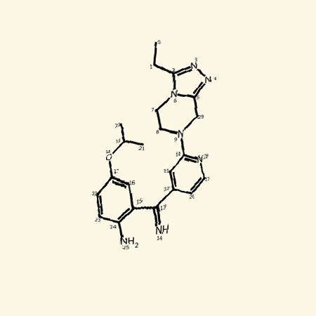 CCc1nnc2n1CCN(c1cc(C(=N)c3cc(OC(C)C)ccc3N)ccn1)C2